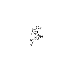 Cc1cc(F)cc(-c2nccc3[nH]c(-c4n[nH]c5ccc(-c6cncc(CN(C)C)c6)nc45)nc23)c1